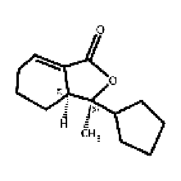 C[C@@]1(C2CCCC2)OC(=O)C2=CCCC[C@@H]21